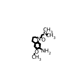 CCOc1cc2c(cc1N)N(C(=O)CN(C)C)CCC2